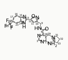 Nc1ncnc(C(=O)NCc2cc(-c3nc4ccc(C(F)(F)F)cc4[nH]3)on2)c1CN1CCCC1